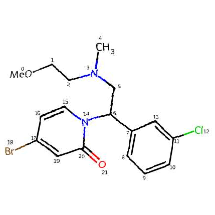 COCCN(C)CC(c1cccc(Cl)c1)n1ccc(Br)cc1=O